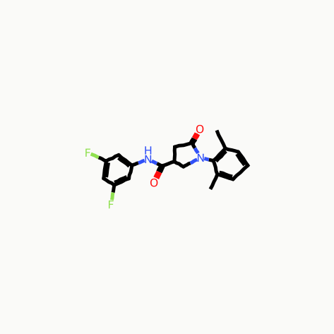 Cc1cccc(C)c1N1CC(C(=O)Nc2cc(F)cc(F)c2)CC1=O